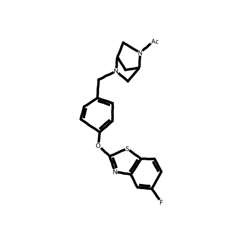 CC(=O)N1CC2CC1CN2Cc1ccc(Oc2nc3cc(F)ccc3s2)cc1